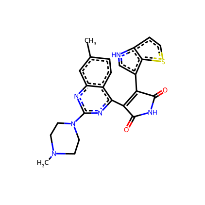 Cc1ccc2c(C3=C(c4c[nH]c5ccsc45)C(=O)NC3=O)nc(N3CCN(C)CC3)nc2c1